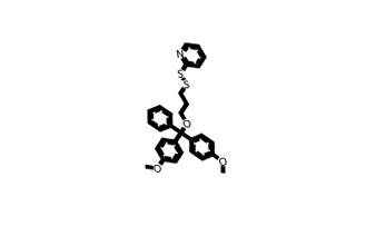 COc1ccc(C(OCCCSSc2ccccn2)(c2ccccc2)c2ccc(OC)cc2)cc1